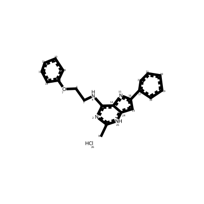 Cc1nc(NCCOc2ccccc2)c2nc(-c3ccccc3)cc-2[nH]1.Cl